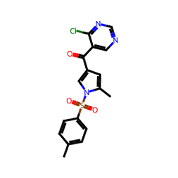 Cc1ccc(S(=O)(=O)n2cc(C(=O)c3cncnc3Cl)cc2C)cc1